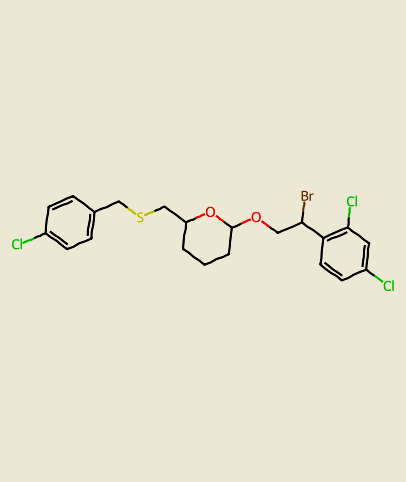 Clc1ccc(CSCC2CCCC(OCC(Br)c3ccc(Cl)cc3Cl)O2)cc1